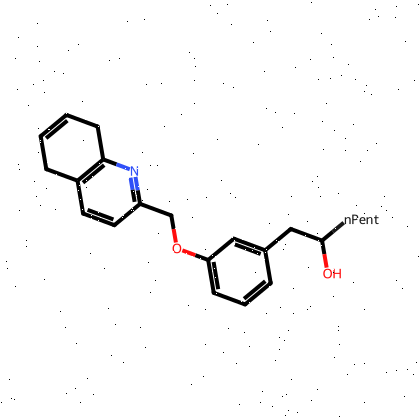 CCCCCC(O)Cc1cccc(OCc2ccc3c(n2)CC=CC3)c1